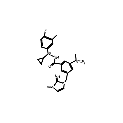 Cc1cc([C@@H](NC(=O)c2cc(Cn3ccn(C)c3=N)cc([C@H](C)C(F)(F)F)c2)C2CC2)ccc1F